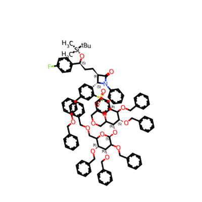 CC(C)(C)[Si](C)(C)O[C@@H](CC[C@H]1C(=O)N(c2ccccc2)[C@@H]1c1ccc(-c2cccc(OCc3ccccc3)c2)cc1S(=O)(=O)C[C@@H]1OC(COCc2ccccc2)[C@@H](O[C@@H]2OC(COCc3ccccc3)[C@@H](OCc3ccccc3)[C@@H](OCc3ccccc3)C2OCc2ccccc2)[C@@H](OCc2ccccc2)C1OCc1ccccc1)c1ccc(F)cc1